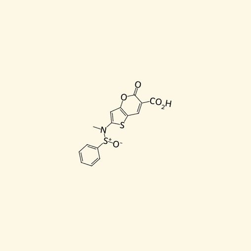 CN(c1cc2oc(=O)c(C(=O)O)cc2s1)[S+]([O-])c1ccccc1